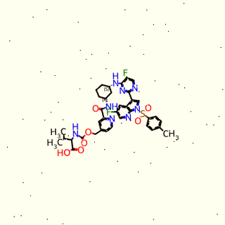 Cc1ccc(S(=O)(=O)n2cc(-c3ncc(F)c(N[C@H]4CCC[C@@H](NC(=O)c5cc(COC(=O)NC(C(=O)O)C(C)C)ccn5)C4)n3)c3cc(F)cnc32)cc1